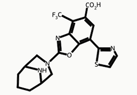 O=C(O)c1cc(-c2nccs2)c2oc(N3CC4CCCC(C3)N4)nc2c1C(F)(F)F